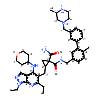 CCc1nc2c(cnn2CC)c(NC2CCOCC2)c1CC1CC1(C(N)=O)C(=O)NCc1ccc(C)c(-c2cccc(CN3CCN[C@H](C)C3)c2)c1